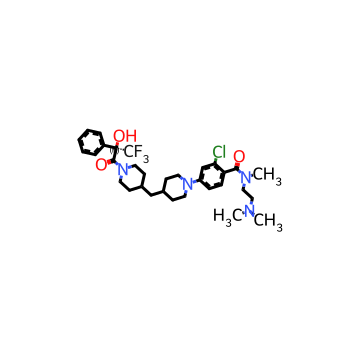 CN(C)CCN(C)C(=O)c1ccc(N2CCC(CC3CCN(C(=O)[C@](O)(c4ccccc4)C(F)(F)F)CC3)CC2)cc1Cl